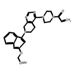 C=CC(=O)N1CCN(c2ncnc3c2CCN(c2cc(OCOC)cc4ccccc24)C3)CC1